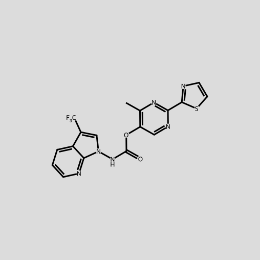 Cc1nc(-c2nccs2)ncc1OC(=O)Nn1cc(C(F)(F)F)c2cccnc21